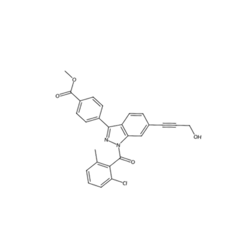 COC(=O)c1ccc(-c2nn(C(=O)c3c(C)cccc3Cl)c3cc(C#CCO)ccc23)cc1